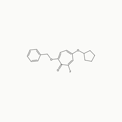 O=c1c(F)cc(OC2CCCC2)ccc1OCc1ccccc1